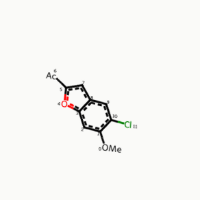 COc1cc2oc(C(C)=O)cc2cc1Cl